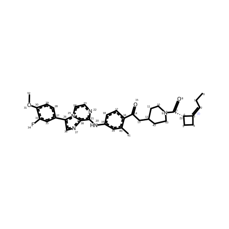 CC/C=C1/CC[C@@H]1C(=O)N1CCC(CC(=O)c2ccc(Nc3nccn4c(-c5ccc(OC)c(F)c5)cnc34)cc2C)CC1